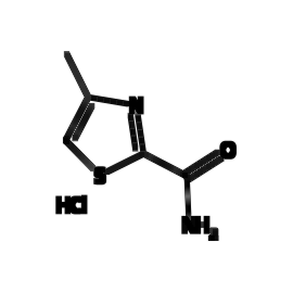 Cc1csc(C(N)=O)n1.Cl